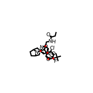 CCC(=O)NCc1cc(S(=O)(=O)CC(C)(C)C)cc(N2C3CCC2CN(C(=O)c2ccc(F)cc2Cl)C3)n1